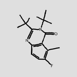 Cc1c(F)ccc2nc(C(C)(C)C)n(C(C)(C)C)c(=O)c12